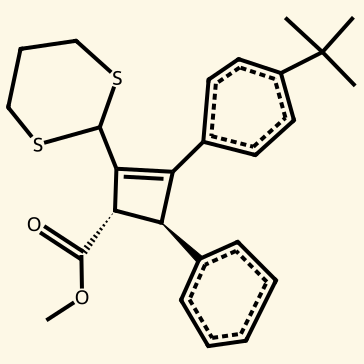 COC(=O)[C@@H]1C(C2SCCCS2)=C(c2ccc(C(C)(C)C)cc2)[C@H]1c1ccccc1